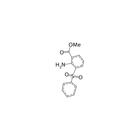 COC(=O)c1cccc(S(=O)(=O)c2ccccc2)c1N